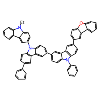 CCn1c2ccccc2c2cc(-n3c4ccc(-c5ccccc5)cc4c4cc(-c5ccc6c(c5)c5cc(-c7ccc8oc9ccccc9c8c7)ccc5n6-c5ccccc5)ccc43)ccc21